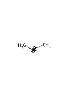 CCCCCCCCCCCCOC(=O)OOC(=O)OCCCCCCCCCCCC